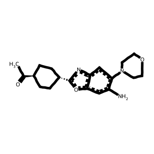 CC(=O)[C@H]1CC[C@H](c2nc3cc(N4CCOCC4)c(N)cc3o2)CC1